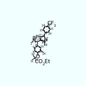 CCCN(C)C(c1ccc(OC(C)(C)C(=O)OCC)c(C)c1)c1cc(-c2ccc(C(F)(F)F)cc2)nn1C